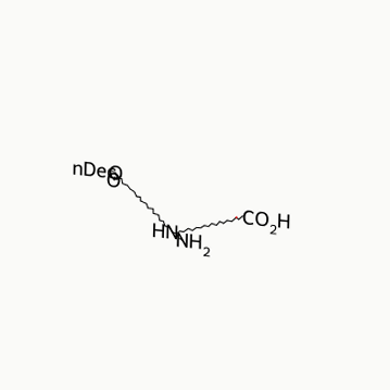 CCCCCCCCCCOC(=O)CCCCCCCCCCCCCCCCCNC(CN)CCCCCCCCCCCCCCCCCC(=O)O